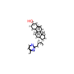 Cc1ccnc(CCC(C)[C@H]2CC[C@H]3[C@@H]4CC=C5C[C@@H](O)CC[C@]5(C)[C@H]4CC[C@]23C)n1